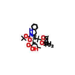 CCC[C@H](C[C@H]([C@H](Cc1ccccc1)NC(=O)OC(C)(C)C)C(C)(C)C(O[SiH2]C)O[SiH2]C)C(=O)O